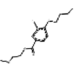 CCCCOc1ccc(C(=O)OCCOC)cc1Cl